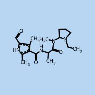 CCN1CCCC1N(C)C(=O)C(C)NC(=O)c1c(C)[nH]c(C=O)c1C